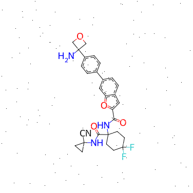 N#CC1(NC(=O)C2(NC(=O)c3cc4ccc(-c5ccc(C6(N)COC6)cc5)cc4o3)CCC(F)(F)CC2)CC1